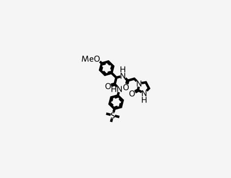 COc1ccc(C(NC(=O)CN2CCNC2=O)C(=O)Nc2ccc(S(C)(C)C)cc2)cc1